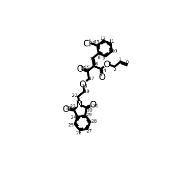 C=CCOC(=O)C(=Cc1ccccc1Cl)C(=O)COCCN1C(=O)c2ccccc2C1=O